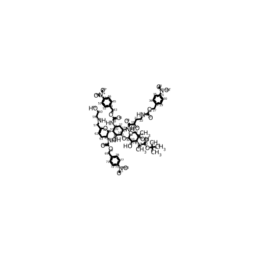 CN(C(=O)OC(C)(C)C)[C@@H]1[C@@H](O)[C@@H](O[C@H]2[C@H](NC(=O)[C@H](O)CCNC(=O)OCc3ccc([N+](=O)[O-])cc3)C[C@H](NC(=O)OCc3ccc([N+](=O)[O-])cc3)C([C@H]3OC(CNCCO)=CC[C@H]3NC(=O)OCc3ccc([N+](=O)[O-])cc3)[C@@H]2O)OC[C@]1(C)O